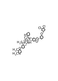 CC[C@@H](c1ccccc1)N1Cc2cc3c(cc2C[C@H]1C(=O)NC(Cc1ccc(Oc2ccnc(C)c2C)cc1)C(=O)OC)OC[C@H](c1cccc(OCc2ccc(Cl)c(Cl)c2)c1)O3